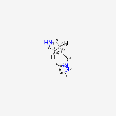 c1cnn(C[C@H]2[C@@H]3CNC[C@@H]32)c1